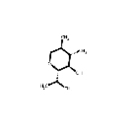 CC(C)[C@@H]1OC[C@@H](C)[C@H](C)[C@H]1O